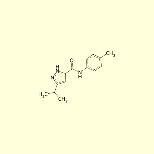 Cc1ccc(NC(=O)c2cc(C(C)C)n[nH]2)cc1